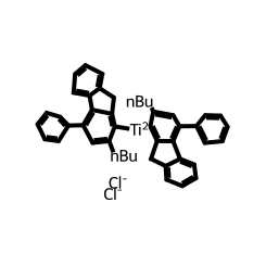 CCCCc1cc(-c2ccccc2)c2c([c]1[Ti+2][c]1c(CCCC)cc(-c3ccccc3)c3c1Cc1ccccc1-3)Cc1ccccc1-2.[Cl-].[Cl-]